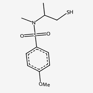 COc1ccc(S(=O)(=O)N(C)C(C)CS)cc1